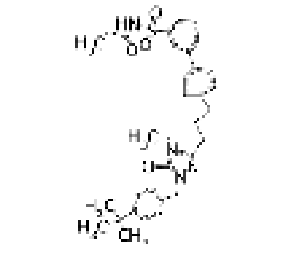 CCC(=O)NS(=O)(=O)c1cccc(-c2ccc(CCCc3nn(Cc4ccc(C(C)(C)C)cc4)c(=O)n3CC)cc2)c1